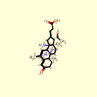 CC(=O)[C@H]1/C(=C\CC(=O)O)C[C@@]2(N)[C@]3(N)C=C(C)C4=CC(=O)CC[C@]4(C)[C@@]3(N)CC[C@]12C